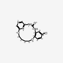 O=C1Nc2cncc(n2)OCCCCOc2ccc(Cl)cc2N1